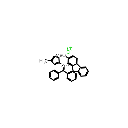 COc1ccc2c([c]1[Zr+2]([C]1=CC(C)=CC1)=[C](c1ccccc1)c1ccccc1)Cc1ccccc1-2.[Cl-].[Cl-]